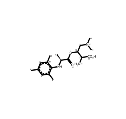 Cc1cc(C)c(N[C@@H](C)C(=O)OC(CN(C)C)C(N)C(=O)O)c(C)c1